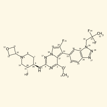 COc1nc(N[C@@H]2CCN(C3COC3)C[C@H]2F)nn2cc(F)c(-c3ccc4nnn(CC(C)(F)F)c4c3)c12